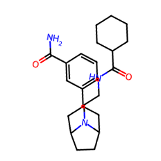 NC(=O)c1cccc(C2CC3CCC(C2)N3CCNC(=O)C2CCCCC2)c1